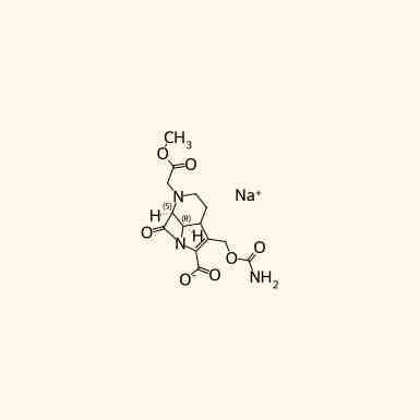 COC(=O)CN1CCC2C(COC(N)=O)=C(C(=O)[O-])N3C(=O)[C@@H]1[C@@H]23.[Na+]